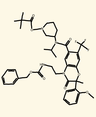 COc1ccccc1C1(C)Oc2cc(C(F)(F)F)c(C(=O)N(C(C)C)C3CCCN(OC(=O)C(C)(C)C)C3)cc2N(CCNC(=O)OCc2ccccc2)C1=O